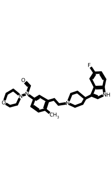 Cc1ccc(N(C=O)N2CCOCC2)cc1CCN1CCC(c2c[nH]c3ccc(F)cc23)CC1